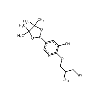 CC(C)C[C@@H](C)COc1ncc(B2OC(C)(C)C(C)(C)O2)cc1C#N